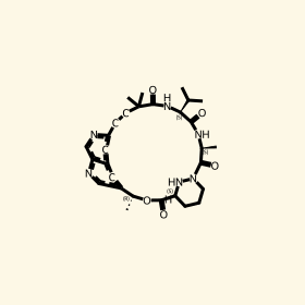 CC(C)[C@@H]1NC(=O)C(C)(C)CCc2cc3cc(cnc3cn2)[C@@H](C)OC(=O)[C@@H]2CCCN(N2)C(=O)[C@H](C)NC1=O